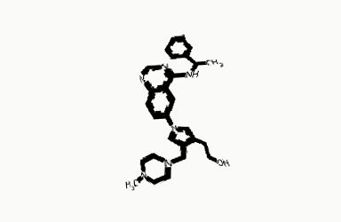 CC(Nc1ncnc2ccc(-n3cc(CCO)c(CN4CCN(C)CC4)c3)cc12)c1ccccc1